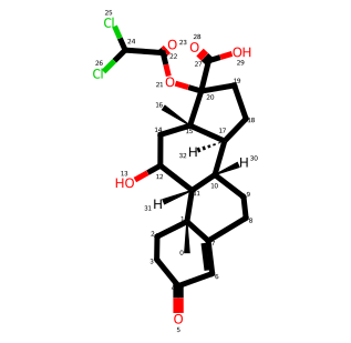 C[C@]12CCC(=O)C=C1CC[C@@H]1[C@H]2C(O)C[C@@]2(C)[C@H]1CCC2(OC(=O)C(Cl)Cl)C(=O)O